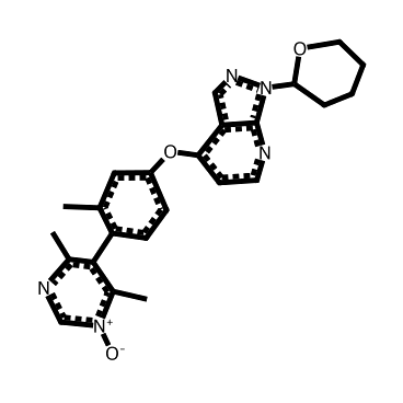 Cc1cc(Oc2ccnc3c2cnn3C2CCCCO2)ccc1-c1c(C)nc[n+]([O-])c1C